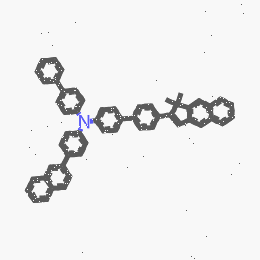 CC1(C)C(c2ccc(-c3ccc(N(c4ccc(-c5ccccc5)cc4)c4ccc(-c5ccc6ccccc6c5)cc4)cc3)cc2)=Cc2cc3ccccc3cc21